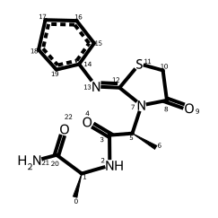 C[C@H](NC(=O)[C@H](C)N1C(=O)CS/C1=N\c1ccccc1)C(N)=O